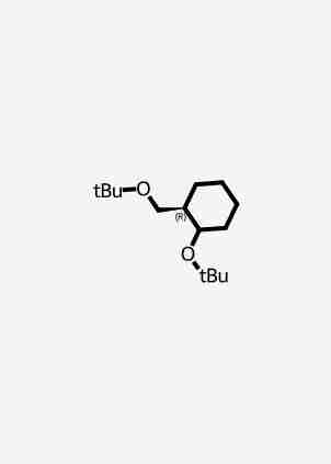 CC(C)(C)OC[C@H]1CCCCC1OC(C)(C)C